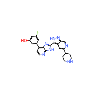 Oc1cc(F)cc(-c2ccnc3[nH]c(-c4[nH]nc5cnc(C6CCNCC6)cc45)nc23)c1